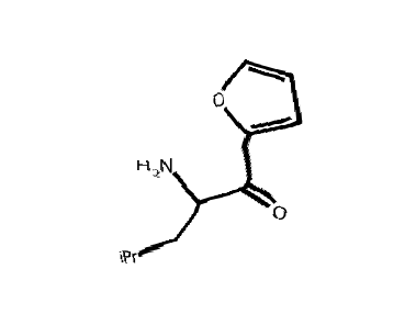 CC(C)CC(N)C(=O)c1ccco1